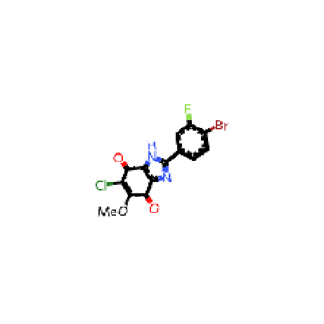 COC1=C(Cl)C(=O)c2[nH]c(-c3ccc(Br)c(F)c3)nc2C1=O